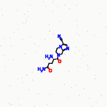 N#Cc1cnc2n1CCN(C(=O)[C@@H](N)CCC(N)=O)C2